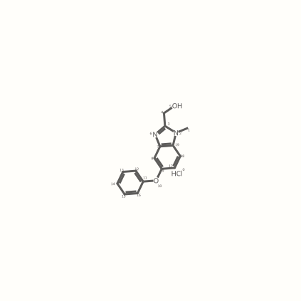 Cl.Cn1c(CO)nc2cc(Oc3ccccc3)ccc21